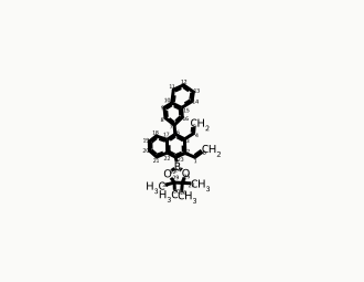 C=Cc1c(C=C)c(-c2ccc3ccccc3c2)c2ccccc2c1B1OC(C)(C)C(C)(C)O1